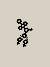 CC(C)(C)c1ccc2c(c1)B1c3cc(C(C)(C)C)ccc3Sc3cc(-c4cc(C#N)cc(-c5c6ccccc6c(-c6ccccc6)c6ccccc56)c4)cc(c31)S2